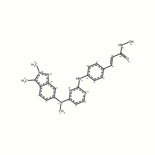 Cc1c2ccc(N(C)c3ccnc(Nc4ccc(/C=C/C(=O)NO)cc4)n3)cc2nn1C